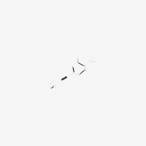 CCc1c(C)cc(C#C[Si](C)(C)C)c(C)c1C